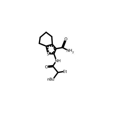 CCCCC(CC)C(=O)Nc1sc2c(c1C(N)=O)CCCC2